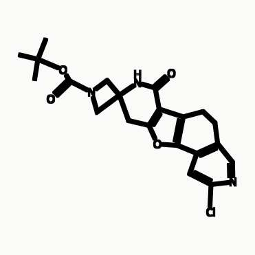 CC(C)(C)OC(=O)N1CC2(Cc3oc4c(c3C(=O)N2)CCc2cnc(Cl)cc2-4)C1